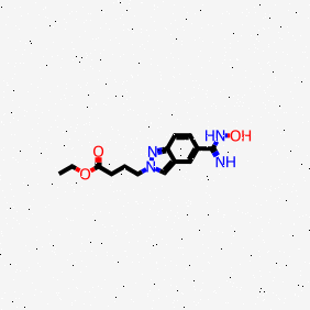 CCOC(=O)CCCn1cc2cc(C(=N)NO)ccc2n1